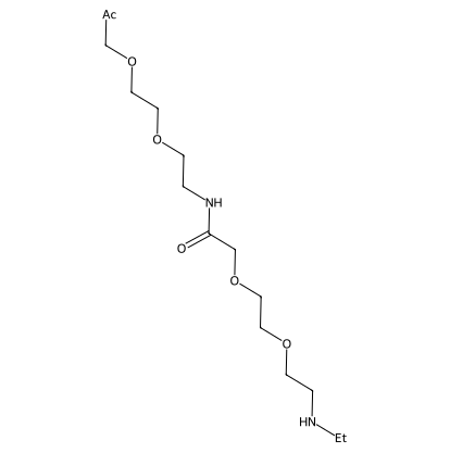 CCNCCOCCOCC(=O)NCCOCCOCC(C)=O